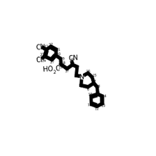 N#CC(CCN1CCC(Cc2ccccc2)CC1)CC(Cc1ccc(Cl)c(Cl)c1)C(=O)O